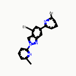 CCc1cc(-c2cccc(C(C)=O)n2)cc2nn(-c3cccc(C)n3)cc12